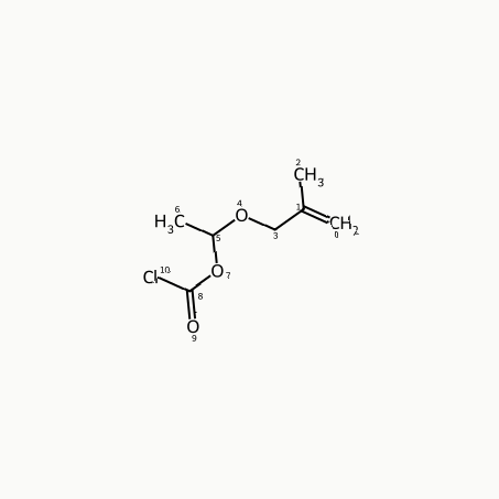 C=C(C)COC(C)OC(=O)Cl